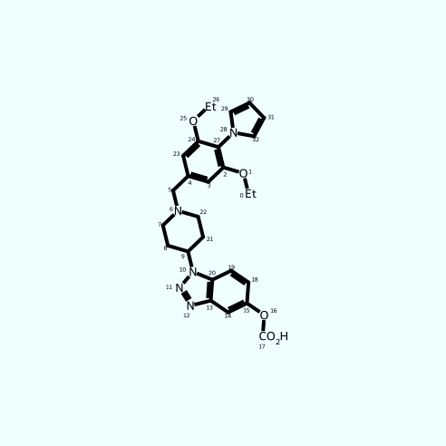 CCOc1cc(CN2CCC(n3nnc4cc(OC(=O)O)ccc43)CC2)cc(OCC)c1-n1cccc1